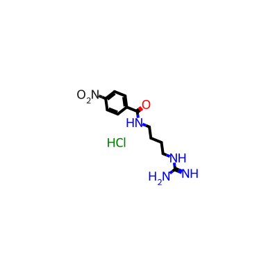 Cl.N=C(N)NCCCCNC(=O)c1ccc([N+](=O)[O-])cc1